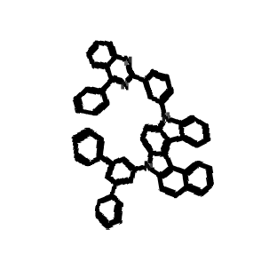 c1ccc(-c2cc(-c3ccccc3)cc(-n3c4ccc5ccccc5c4c4c5c6ccccc6n(-c6cccc(-c7nc(-c8ccccc8)c8ccccc8n7)c6)c5ccc43)c2)cc1